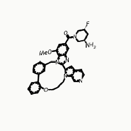 COc1cc(C(=O)N2C[C@H](N)C[C@@H](F)C2)cc2nc3n(c12)Cc1cccc(c1)-c1ccccc1OCCCn1c-3cc2ccncc21